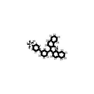 CP(C)(I)(I)c1ccc(-c2cccc(-c3c4ccc5ccccc5c4nc4c3ccc3ccccc34)c2)cc1